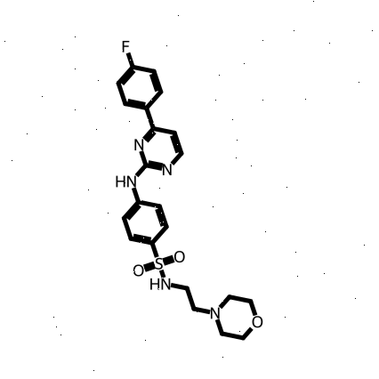 O=S(=O)(NCCN1CCOCC1)c1ccc(Nc2nccc(-c3ccc(F)cc3)n2)cc1